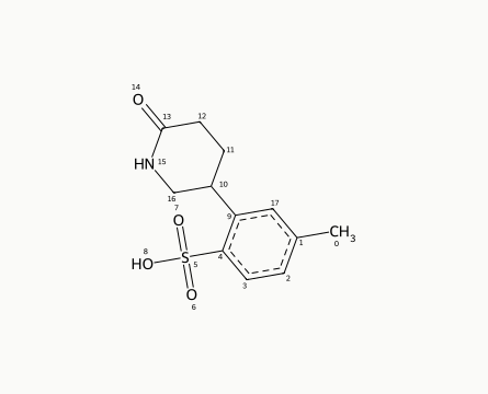 Cc1ccc(S(=O)(=O)O)c(C2CCC(=O)NC2)c1